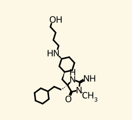 CN1C(=N)N[C@](CCC2CCCCC2)(C[C@@H]2CCC[C@H](NCCCCO)C2)C1=O